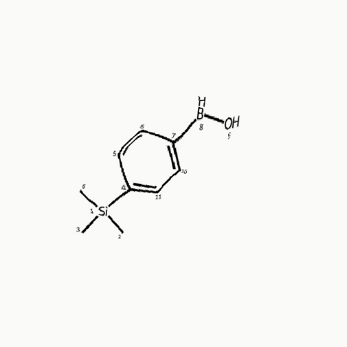 C[Si](C)(C)c1ccc(BO)cc1